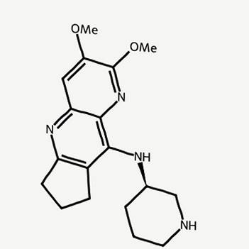 COc1cc2nc3c(c(N[C@@H]4CCCNC4)c2nc1OC)CCC3